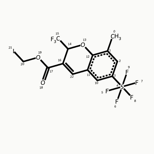 Cc1cc(S(F)(F)(F)(F)F)cc2c1OC(C(F)(F)F)C(C(=O)OCI)=C2